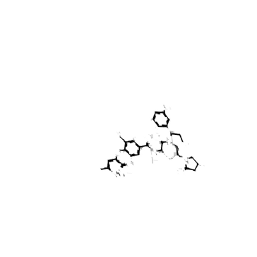 Cc1cc(Oc2ccc(C(=O)N[C@H](C)C(=O)N3[C@@H]([C@H](C)N4CCCC4=O)CC[C@H]3c3cccc(Cl)c3)cc2C)c(=O)[nH]n1